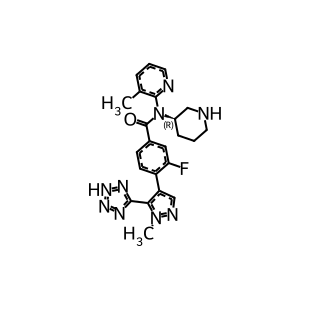 Cc1cccnc1N(C(=O)c1ccc(-c2cnn(C)c2-c2nn[nH]n2)c(F)c1)[C@@H]1CCCNC1